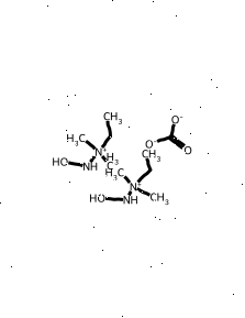 CC[N+](C)(C)NO.CC[N+](C)(C)NO.O=C([O-])[O-]